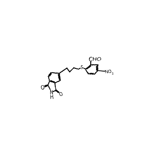 O=Cc1cc([N+](=O)[O-])ccc1SCCCCc1ccc2c(c1)C(=O)NC2=O